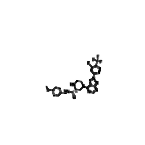 CSc1ccc(CNC(=O)[C@H]2CN(c3ncnc4nn(-c5ccc(C(F)(F)F)c(F)c5)cc34)CCN2)cc1